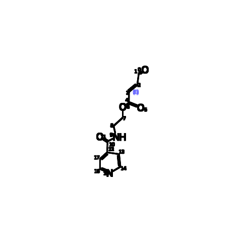 O=C/C=C/C(=O)OCCNC(=O)c1ccncc1